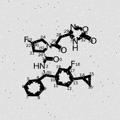 O=C(N[C@@H](c1ccccc1)c1ccc(C2CC2)c(F)c1)[C@@H]1C[C@@H](F)CN1C(=O)Cc1noc(=O)[nH]1